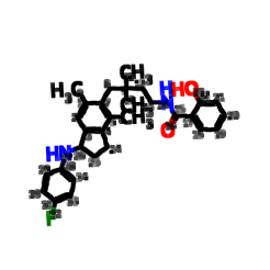 Cc1cc2c(c(C)c1CC(C)(C)CCNC(=O)c1ccccc1O)CCC2Nc1ccc(F)cc1